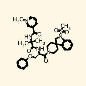 C[n+]1cccc(C(=O)NC(C)(C)C(=O)N[C@H](COc2ccccc2)C(=O)N2CCC3(CC2)CN(S(C)(=O)=O)c2ccccc23)c1